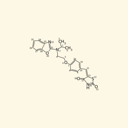 CC(C)N(CCOc1ccc(/C=C2/SC(=O)NC2=O)cc1)c1nc2ccccc2o1